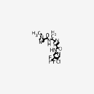 CCn1cncc1C(=O)N[C@H](C)c1ncc(C(=O)Nc2cc(C(F)(F)F)c(Cl)cn2)s1